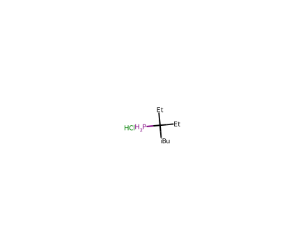 CCC(C)C(P)(CC)CC.Cl